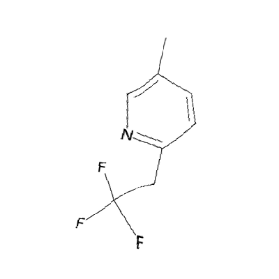 Cc1ccc(CC(F)(F)F)nc1